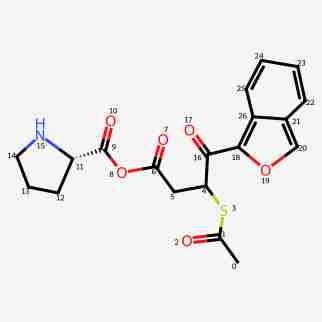 CC(=O)SC(CC(=O)OC(=O)[C@@H]1CCCN1)C(=O)c1occ2ccccc12